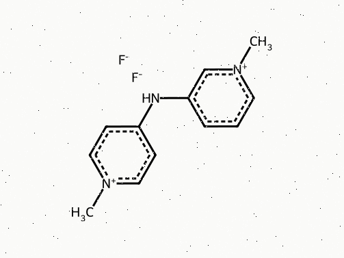 C[n+]1ccc(Nc2ccc[n+](C)c2)cc1.[F-].[F-]